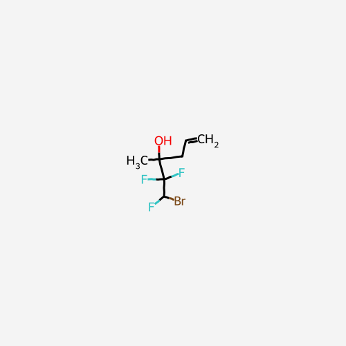 C=CCC(C)(O)C(F)(F)C(F)Br